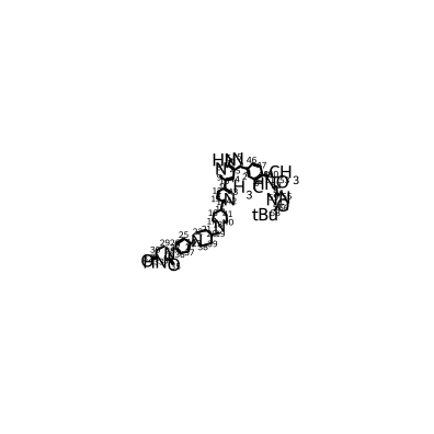 Cc1cc(-c2n[nH]c3ncc(-c4ccc(C5CCN(CC6CCN(c7ccc(N8CCC(=O)NC8=O)cc7)CC6)CC5)nc4)cc23)ccc1[C@@H](C)NC(=O)c1noc(C(C)(C)C)n1